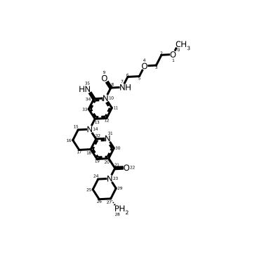 COCCOCCNC(=O)n1ccc(N2CCCc3cc(C(=O)N4CCC[C@@H](P)C4)cnc32)cc1=N